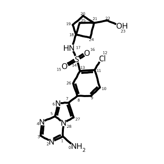 Nc1ncnc2nc(-c3ccc(Cl)c(S(=O)(=O)NC45CCC(CO)(C4)C5)c3)cn12